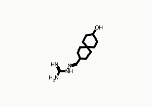 N=C(N)NN=CC1CCC2(CCC(O)CC2)CC1